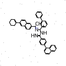 C/C(=N\C(NC(=N)c1ccc(-c2cccc3ccccc23)cc1)c1cccc(-c2ccccc2)c1)c1ccc2cc(C3=CCCCC3)ccc2c1